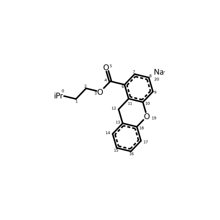 CC(C)CCOC(=O)c1cccc2c1Cc1ccccc1O2.[Na]